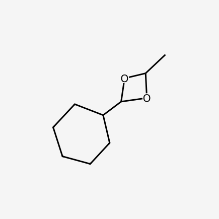 CC1OC(C2CCCCC2)O1